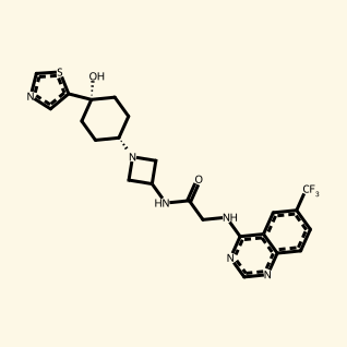 O=C(CNc1ncnc2ccc(C(F)(F)F)cc12)NC1CN([C@H]2CC[C@](O)(c3cncs3)CC2)C1